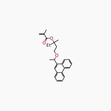 C=C(C)C(=O)OC(C)(CC)CCOC(C)c1cc2ccccc2c2ccccc12